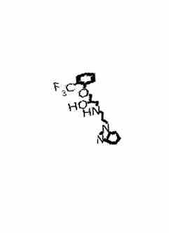 OC(CNCCCn1cnc2ccccc21)COc1ccccc1C(F)(F)F